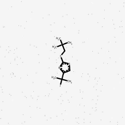 CC(C)(C)CSc1nc(C(C)(C)I)cs1